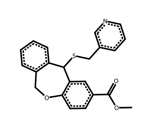 COC(=O)c1ccc2c(c1)C(SCc1cccnc1)c1ccccc1CO2